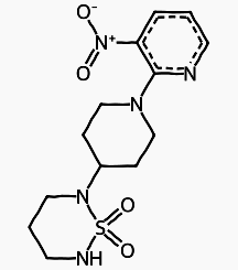 O=[N+]([O-])c1cccnc1N1CCC(N2CCCNS2(=O)=O)CC1